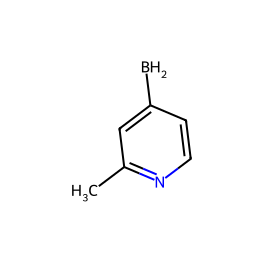 Bc1ccnc(C)c1